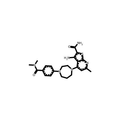 Cc1cc(N2CCCN(c3ccc(C(=O)N(C)C)cc3)CC2)c2c(N)c(C(N)=O)sc2n1